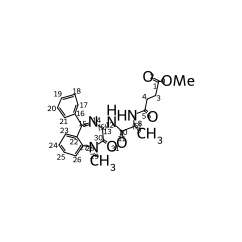 COC(=O)CCC(=O)N[C@@H](C)C(=O)N[C@H]1N=C(c2ccccc2)c2ccccc2N(C)C1=O